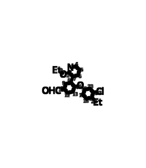 CCOc1ncccc1-c1cc(C=O)ccc1Oc1ccc(CC)c(Cl)c1